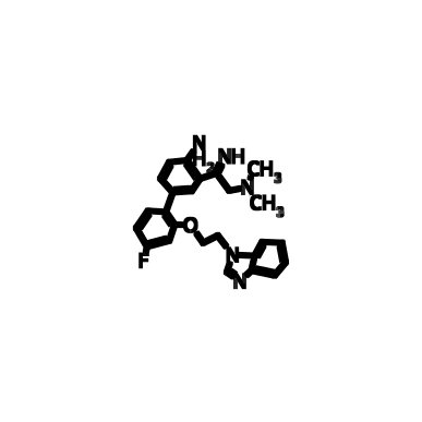 CN(C)CC(=N)c1cc(-c2ccc(F)cc2OCCn2cnc3ccccc32)ccc1N